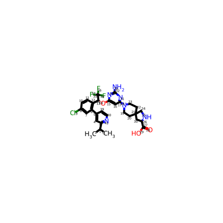 CC(C)c1cc(-c2cc(Cl)ccc2[C@@H](Oc2cc(N3CCC4(CC3)CNC(C(=O)O)C4)nc(N)n2)C(F)(F)F)ccn1